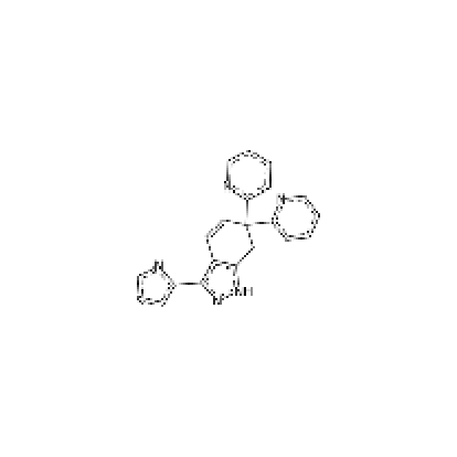 C1=CC(c2ccccn2)(c2ccccn2)Cc2[nH]nc(-c3cscn3)c21